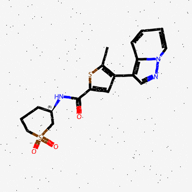 Cc1sc(C(=O)N[C@@H]2CCCS(=O)(=O)C2)cc1-c1cnn2ccccc12